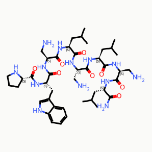 CC(C)C[C@H](NC(=O)[C@H](CN)NC(=O)[C@H](CC(C)C)NC(=O)[C@H](CN)NC(=O)[C@H](CC(C)C)NC(=O)[C@H](CN)NC(=O)[C@H](Cc1c[nH]c2ccccc12)NC(=O)[C@@H]1CCCN1)C(N)=O